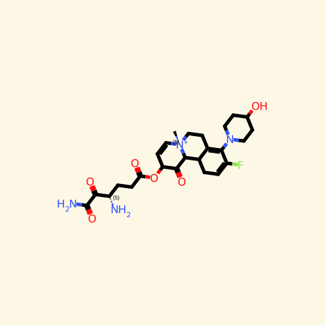 C[N@+]12C=CC(OC(=O)CC[C@H](N)C(=O)C(N)=O)C(=O)C1C1CC=C(F)C(N3CCC(O)CC3)=C1CC2